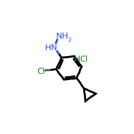 Cl.NNc1ccc(C2CC2)cc1Cl